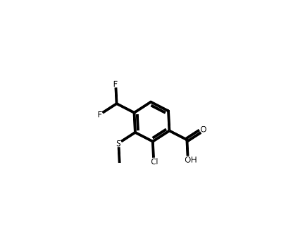 CSc1c(C(F)F)ccc(C(=O)O)c1Cl